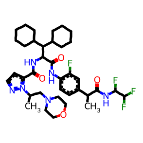 CC(C(=O)NC(F)C(F)F)c1ccc(NC(=O)C(NC(=O)c2ccnn2C(C)CN2CCOCC2)C(C2CCCCC2)C2CCCCC2)c(F)c1